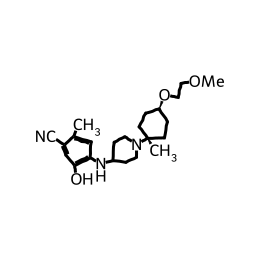 COCCO[C@H]1CC[C@](C)(N2CCC(Nc3cc(C)c(C#N)cc3O)CC2)CC1